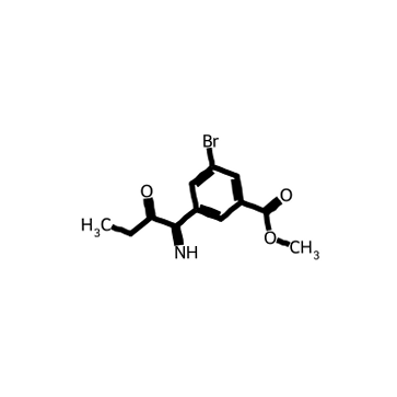 CCC(=O)C(=N)c1cc(Br)cc(C(=O)OC)c1